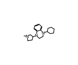 CN1CCC(N2CCN(C3CCCCC3)c3ccccc32)C1